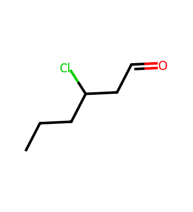 CCCC(Cl)CC=O